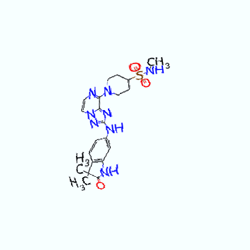 CNS(=O)(=O)C1CCN(c2nccn3nc(Nc4ccc5c(c4)NC(=O)C5(C)C)nc23)CC1